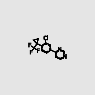 FC(F)(F)C1(c2ccc(-c3ccncn3)cc2Cl)CC1